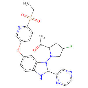 CCS(=O)(=O)c1ccc(Oc2ccc3c(c2)N(N2CC(F)CC2C(C)=O)C(c2cnccn2)N3)cn1